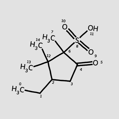 CCC1CC(=O)C(C)(S(=O)(=O)O)C1(C)C